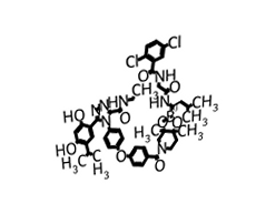 CCNC(=O)c1nnc(-c2cc(C(C)C)c(O)cc2O)n1-c1ccc(Oc2ccc(C(=O)N3CCC4(C)OB([C@H](CC(C)C)NC(=O)CNC(=O)c5cc(Cl)ccc5Cl)OC4(C)C3)cc2)cc1